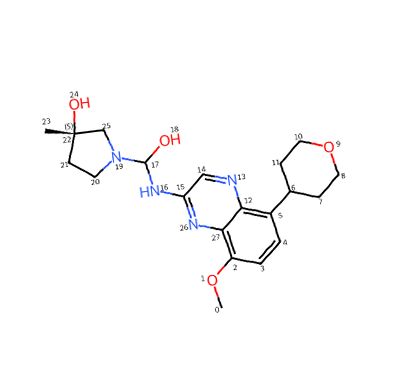 COc1ccc(C2CCOCC2)c2ncc(NC(O)N3CC[C@](C)(O)C3)nc12